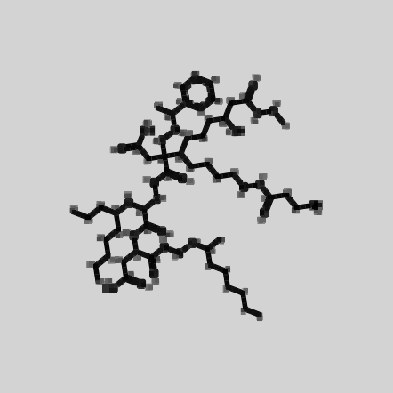 CCCCCCC(C)OSOC(=O)C(CC(=O)O)OC(=O)C(OC(CCC)CCCCC)SOC(=O)C(CC(=O)O)(SOC(C)c1ccccc1)C(CCCCOOC(=O)CCS)CCCC(S)CC(=O)OOC